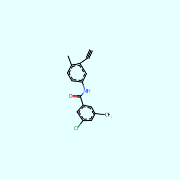 C#Cc1cc(NC(=O)c2cc(Cl)cc(C(F)(F)F)c2)ccc1C